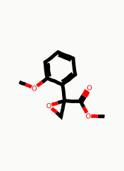 COC(=O)C1(c2ccccc2OC)CO1